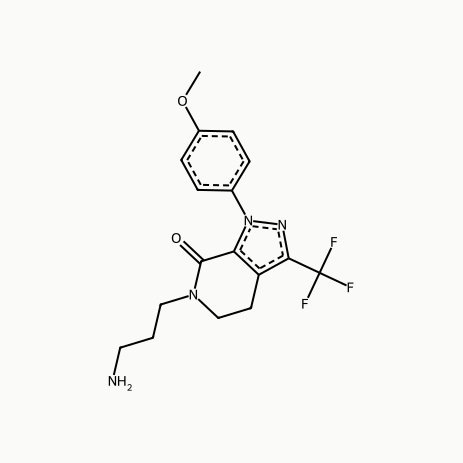 COc1ccc(-n2nc(C(F)(F)F)c3c2C(=O)N(CCCN)CC3)cc1